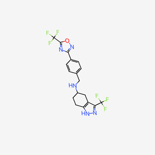 FC(F)(F)c1nc(-c2ccc(CNC3CCc4[nH]nc(C(F)(F)F)c4C3)cc2)no1